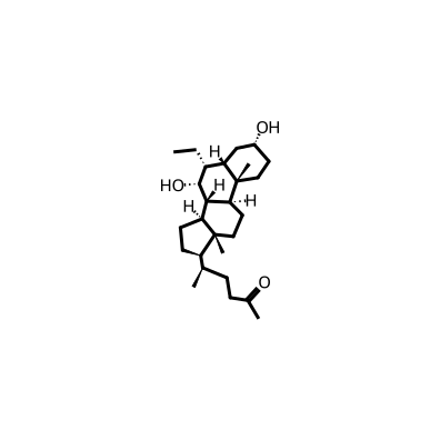 CC[C@H]1[C@@H](O)[C@@H]2[C@H](CC[C@]3(C)[C@@H]([C@H](C)CCC(C)=O)CC[C@@H]23)[C@@]2(C)CC[C@@H](O)C[C@@H]12